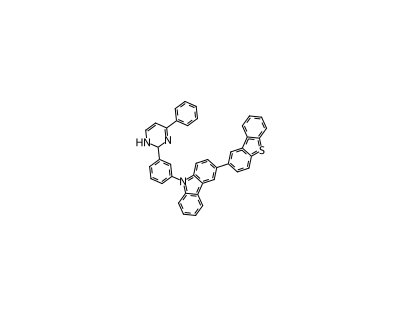 C1=CC(c2ccccc2)=NC(c2cccc(-n3c4ccccc4c4cc(-c5ccc6sc7ccccc7c6c5)ccc43)c2)N1